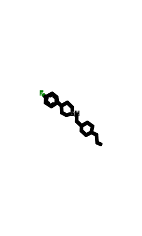 CCCC1CCC(CC[SiH]2CCC(c3ccc(F)cc3)CC2)CC1